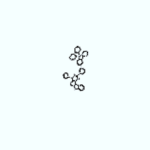 c1ccc(-c2nc(-c3cccc(-c4ccc5c(c4)-c4ccccc4C5(c4ccccc4)c4ccccc4)c3)nc3c2ccc2sc4ccccc4c23)cc1